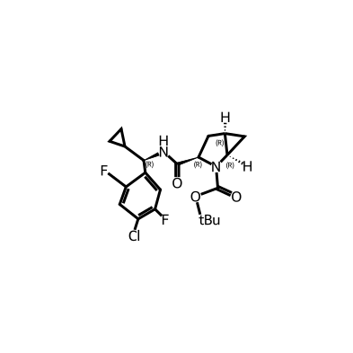 CC(C)(C)OC(=O)N1[C@@H](C(=O)N[C@@H](c2cc(F)c(Cl)cc2F)C2CC2)C[C@H]2C[C@H]21